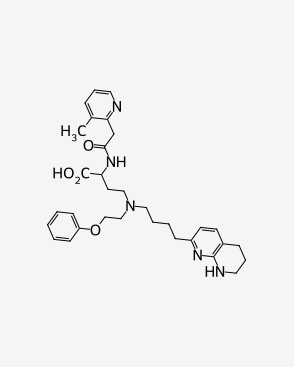 Cc1cccnc1CC(=O)NC(CCN(CCCCc1ccc2c(n1)NCCC2)CCOc1ccccc1)C(=O)O